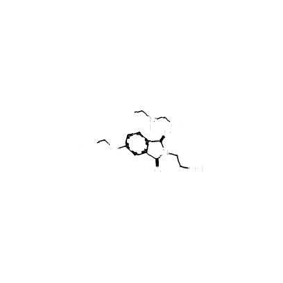 CCNCC.CCOc1ccc2c(c1)C(=O)N(CCO)C2=O